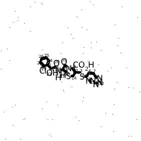 O=C(O)C1=C(CSc2ccc3nnnn3n2)CS[C@H]2C(NC(=O)C(O)c3ccccc3Cl)C(=O)N12